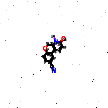 N#Cc1ccc2c(c1)-c1ccc(=O)n(I)c1CO2